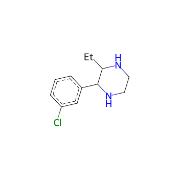 CCC1NCCNC1c1cccc(Cl)c1